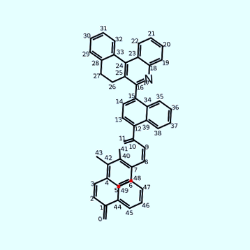 C=C(/C=C\c1ccc(/C=C\C(=C)c2ccc(-c3nc4ccccc4c4c3CCc3ccccc3-4)c3ccccc23)c(C)c1C)C1=CC=CCC1